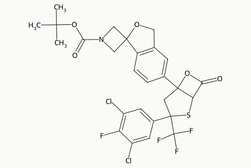 CC(C)(C)OC(=O)N1CC2(C1)OCc1cc(C34CC(c5cc(Cl)c(F)c(Cl)c5)(C(F)(F)F)SC3C(=O)O4)ccc12